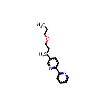 CCCOCC[SiH2]c1ccc(-c2ccccn2)nc1